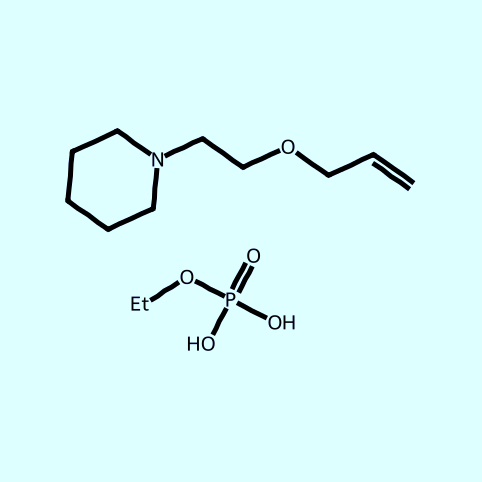 C=CCOCCN1CCCCC1.CCOP(=O)(O)O